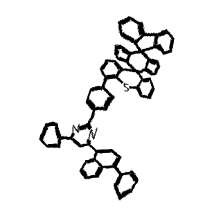 c1ccc(-c2cc(-c3ccc(-c4ccccc4)c4ccccc34)nc(-c3ccc(-c4cccc5c4Sc4ccccc4C54c5ccccc5C5(c6ccccc6-c6ccccc65)c5ccccc54)cc3)n2)cc1